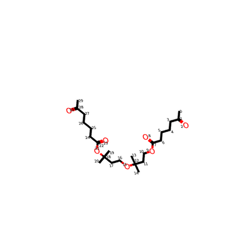 CC(=O)CCCCC(=O)OCCC(C)(C)OCCC(C)(C)OC(=O)CCCCC(C)=O